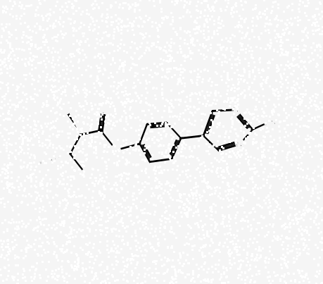 CCCCCCCCCc1ncc(-c2ccc(OC(=O)[C@H](C)[C@H](Cl)CCCC)cc2)cn1